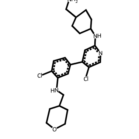 NCC1CCC(Nc2cc(-c3ccc(Cl)c(NCC4CCOCC4)c3)c(Cl)cn2)CC1